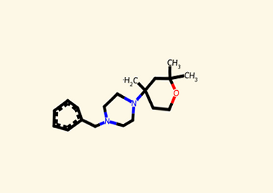 [CH2]C1(N2CCN(Cc3ccccc3)CC2)CCOC(C)(C)C1